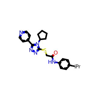 CC(C)c1ccc(NC(=O)CSc2nnc(-c3ccncc3)n2C2CCCC2)cc1